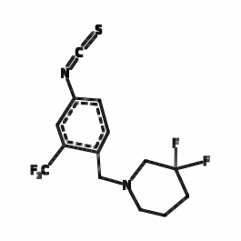 FC1(F)CCCN(Cc2ccc(N=C=S)cc2C(F)(F)F)C1